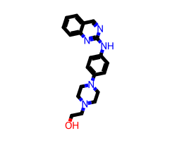 OCCN1CCN(c2ccc(Nc3ncc4ccccc4n3)cc2)CC1